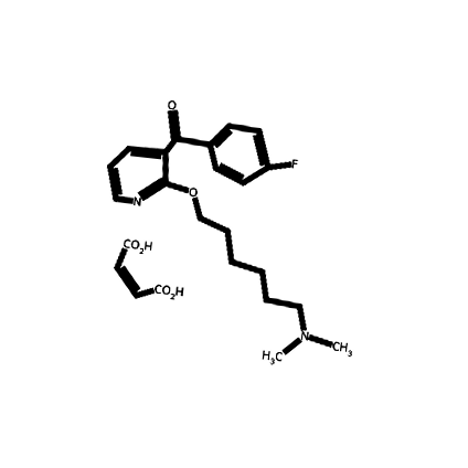 CN(C)CCCCCCOc1ncccc1C(=O)c1ccc(F)cc1.O=C(O)/C=C\C(=O)O